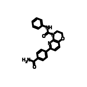 NC(=O)c1ccc(-c2ccc3c(n2)N(C(=O)Nc2ccccc2)CCO3)cc1